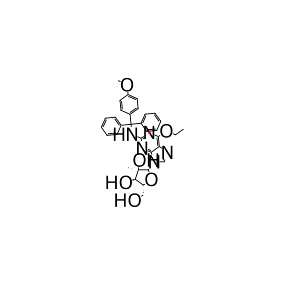 CCOc1nc(NC(c2ccccc2)(c2ccccc2)c2ccc(OC)cc2)nc2c1ncn2[C@@H]1O[C@H](CO)[C@@H](O)[C@@]1(C)O